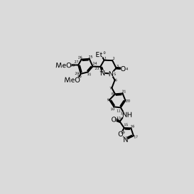 CCC1CC(=O)N(CCc2ccc(NC(=O)c3ccno3)cc2)N=C1c1ccc(OC)c(OC)c1